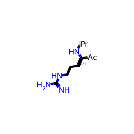 CC(=O)/C(=C/CCNC(=N)N)NC(C)C